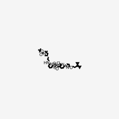 CC(C)(C)OC(=O)N1C[C@@H](CCCNc2cccc(S(=O)(=O)NC(=O)c3ccc(-n4ccc(OCCC5C6(CC6)C56CC6)n4)nc3Cl)n2)CC1(C)C